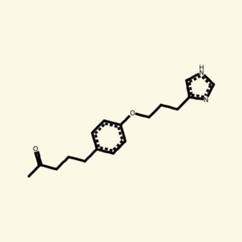 CC(=O)CCCc1ccc(OCCCc2c[nH]cn2)cc1